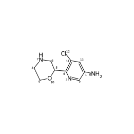 Nc1cnc(C2CNCCO2)c(Cl)c1